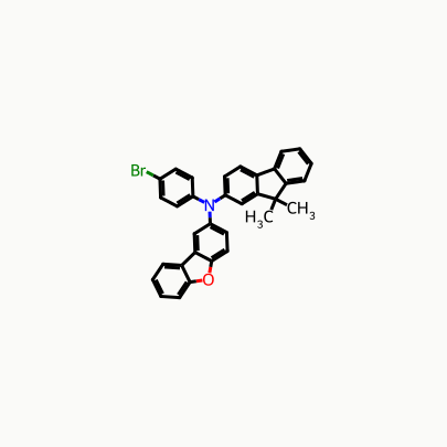 CC1(C)c2ccccc2-c2ccc(N(c3ccc(Br)cc3)c3ccc4oc5ccccc5c4c3)cc21